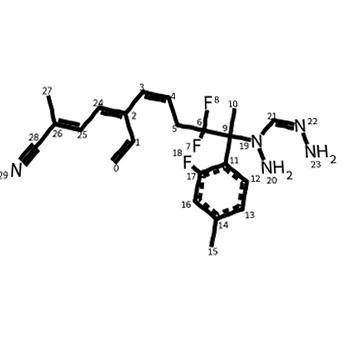 C=CC(/C=C\CC(F)(F)C(C)(c1ccc(C)cc1F)N(N)/C=N\N)=C\C=C(/C)C#N